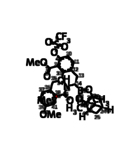 COC(=O)c1c(OS(=O)(=O)C(F)(F)F)ccc(C[C@H](NC(=O)CSC)B2OC3C[C@@H]4C[C@@H](C4(C)C)[C@]3(C)O2)c1OCc1ccc(OC)cc1